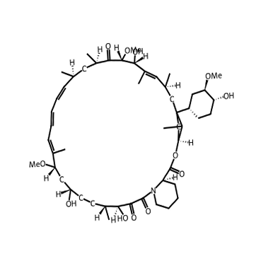 CO[C@H]1C[C@@H](O)CC[C@@H](C)[C@H](O)C(=O)C(=O)N2CCCC[C@@H]2C(=O)O[C@H]2CC([C@H]3CC[C@@H](O)[C@H](OC)C3)(C[C@H](C)/C=C(\C)[C@@H](O)[C@@H](OC)C(=O)[C@H](C)C[C@H](C)\C=C/C=C/C=C/1C)C2C